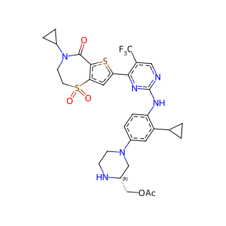 CC(=O)OC[C@H]1CN(c2ccc(Nc3ncc(C(F)(F)F)c(-c4cc5c(s4)C(=O)N(C4CC4)CCS5(=O)=O)n3)c(C3CC3)c2)CCN1